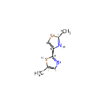 Cc1cnc(-c2csc(C)n2)s1